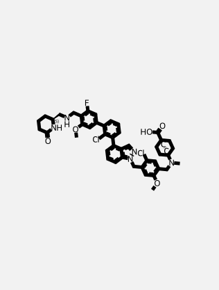 COc1cc(Cn2ncc3c(-c4cccc(-c5cc(F)c(CNC[C@@H]6CCCC(=O)N6)c(OC)c5)c4Cl)cccc32)c(Cl)cc1CN(C)C12CCC(C(=O)O)(CC1)CC2